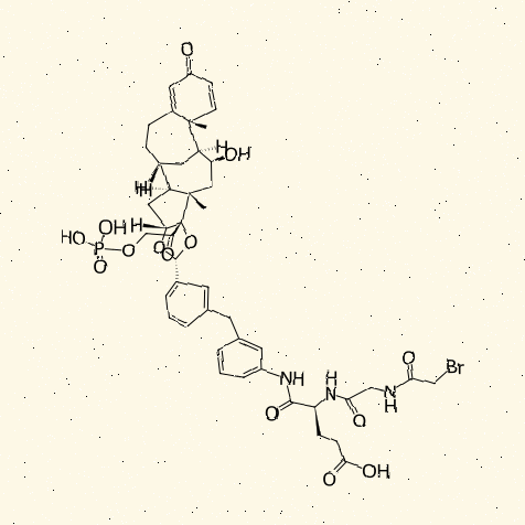 C[C@]12C=CC(=O)C=C1CC[C@@H]1C[C@@H]2[C@@H](O)C[C@@]2(C)[C@H]1C[C@H]1O[C@@H](c3cccc(Cc4cccc(NC(=O)[C@H](CCC(=O)O)NC(=O)CNC(=O)CBr)c4)c3)O[C@]12C(=O)COP(=O)(O)O